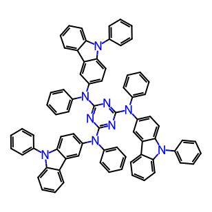 c1ccc(N(c2ccc3c(c2)c2ccccc2n3-c2ccccc2)c2nc(N(c3ccccc3)c3ccc4c(c3)c3ccccc3n4-c3ccccc3)nc(N(c3ccccc3)c3ccc4c(c3)c3ccccc3n4-c3ccccc3)n2)cc1